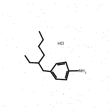 CCCCC(CC)Cc1ccc(N)cc1.Cl